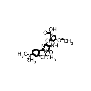 CCO[C@H]1CN(C(=O)O)C[C@H]1Nc1c(C)nc(-c2ccc(N(C)C)cc2Cl)n(CC)c1=O